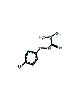 CN(C)C(=N)NNc1ccc(N)cc1